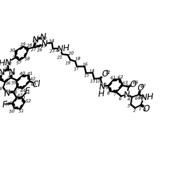 O=C1CCC(N2Cc3cc(NC(=O)CCCCCCCCCNCCn4cc(-c5ccc(Nc6ncc7c(n6)-c6ccc(Cl)cc6C(c6c(F)cccc6F)=NC7)cc5)nn4)ccc3C2=O)C(=O)N1